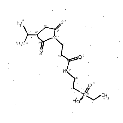 CCP(=O)(O)CCNC(=O)CCN1C(=O)CC(C(C)C)C1=O